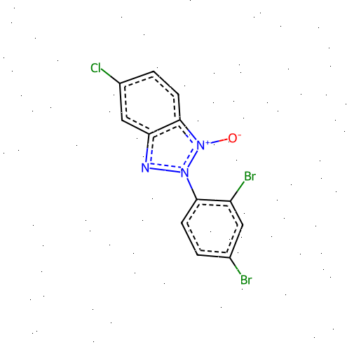 [O-][n+]1c2ccc(Cl)cc2nn1-c1ccc(Br)cc1Br